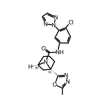 Cc1nnc([C@]23CCC[C@H](C2)N3C(=O)Nc2ccc(Cl)c(-n3nccn3)c2)o1